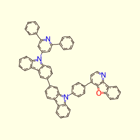 c1ccc(-c2cc(-n3c4ccccc4c4cc(-c5ccc6c7ccccc7n(-c7ccc(-c8ccnc9c8oc8ccccc89)cc7)c6c5)ccc43)cc(-c3ccccc3)n2)cc1